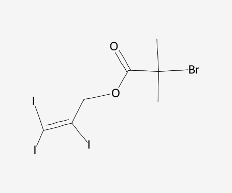 CC(C)(Br)C(=O)OCC(I)=C(I)I